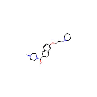 CN1CCN(C(=O)c2ccc3cc(OCCCN4CCCCC4)ccc3c2)CC1